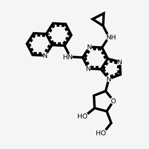 OCC1OC(n2cnc3c(NC4CC4)nc(Nc4cccc5cccnc45)nc32)CC1O